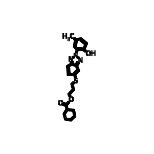 Cc1ccc(O)c(-n2nc3ccc(SCCCOC(=O)C4CCCCC4)cc3n2)c1